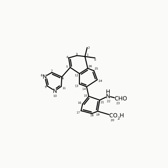 CC1(C)CC=C(c2cncnc2)c2cc(-c3cccc(C(=O)O)c3NC=O)ccc21